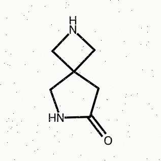 O=C1CC2(CNC2)CN1